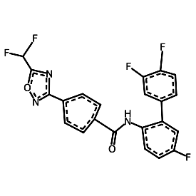 O=C(Nc1ccc(F)cc1-c1ccc(F)c(F)c1)c1ccc(-c2noc(C(F)F)n2)cc1